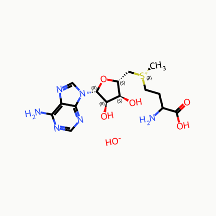 C[S@@+](CCC(N)C(=O)O)C[C@H]1O[C@@H](n2cnc3c(N)ncnc32)[C@H](O)[C@@H]1O.[OH-]